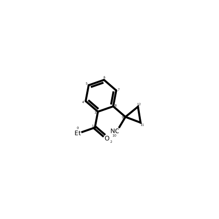 CCC(=O)c1ccccc1C1(C#N)CC1